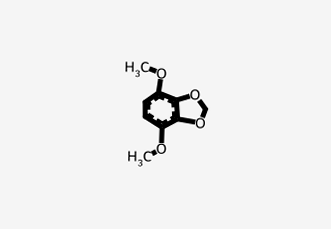 COc1ccc(OC)c2c1OCO2